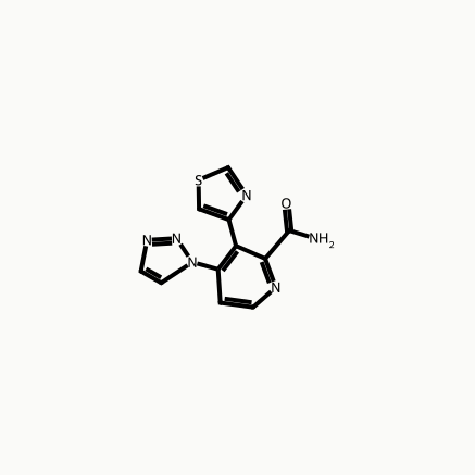 NC(=O)c1nccc(-n2ccnn2)c1-c1cscn1